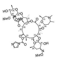 CON=C1C[C@@H](C)O[C@@H](O[C@@H]2[C@@H](C)[C@H](O[C@H]3CC(C)N(C)C[C@H](C)O3)[C@@H](C)C(=O)O[C@H]([C@@H](C)CO[C@@H]3O[C@H](C)[C@@H](O)[C@@H](OC)[C@H]3OC)[C@H](C)[C@@H](OC(=O)CC(C)C)[C@@H](C)C(=O)[C@@](C)(OC(=O)n3ccnc3)C[C@@H]2C)[C@@H]1O